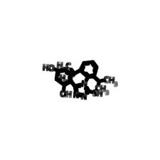 CC(C)c1cccc(C(C)C)c1-n1c(S)nnc1-c1ccc(O)cc1O